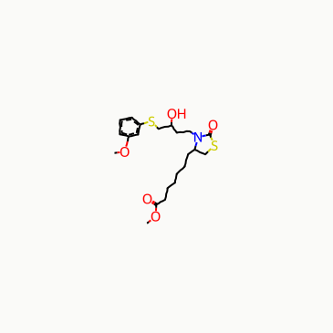 COC(=O)CCCCCCC1CSC(=O)N1CCC(O)CSc1cccc(OC)c1